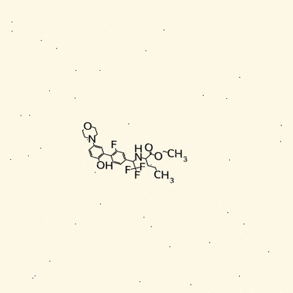 CCCC(NC(c1ccc(-c2cc(N3CCOCC3)ccc2O)c(F)c1)C(F)(F)F)C(=O)OCC